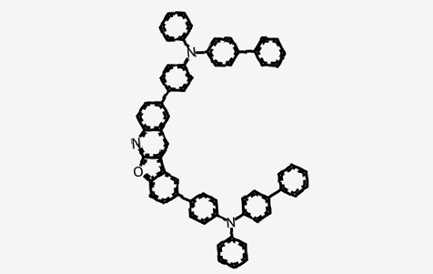 c1ccc(-c2ccc(N(c3ccccc3)c3ccc(-c4ccc5nc6oc7ccc(-c8ccc(N(c9ccccc9)c9ccc(-c%10ccccc%10)cc9)cc8)cc7c6cc5c4)cc3)cc2)cc1